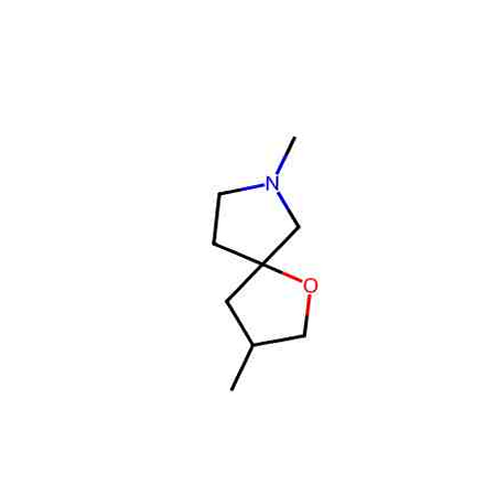 CC1COC2(CCN(C)C2)C1